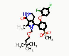 Cc1c2c(c(-c3cc(S(C)(=O)=O)ccc3Oc3ccc(F)cc3F)n1COCC[Si](C)(C)C)CCNC2=O